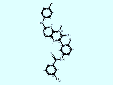 Cc1ccc(Nc2ncc3nc(-c4cc(NC(=O)c5cccc(C(F)(F)F)c5)ccc4C)c(=O)n(C)c3n2)cc1